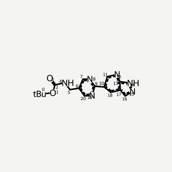 CC(C)(C)OC(=O)NCc1cnc(-c2cnc3[nH]ncc3c2)nc1